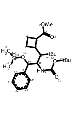 COC(=O)C1CCC1C(C(NC(=O)OC(C)(C)C)C(O[SiH](C)C)c1ccccc1)C(C)(C)C